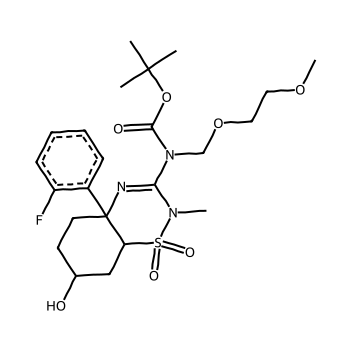 COCCOCN(C(=O)OC(C)(C)C)C1=NC2(c3ccccc3F)CCC(O)CC2S(=O)(=O)N1C